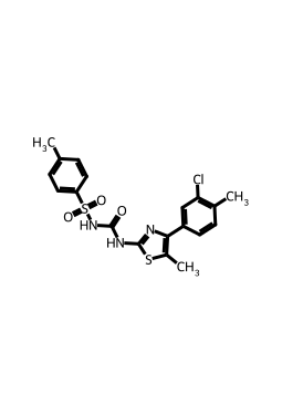 Cc1ccc(S(=O)(=O)NC(=O)Nc2nc(-c3ccc(C)c(Cl)c3)c(C)s2)cc1